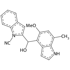 COc1cc(C)c2[nH]ccc2c1C(O)c1cc2ccccc2n1C#N